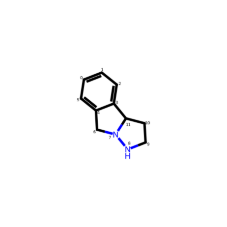 c1ccc2c(c1)CN1NCCC21